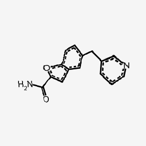 NC(=O)c1cc2cc(Cc3cccnc3)ccc2o1